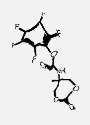 CC1(NC(=O)Oc2c(F)c(F)c(F)c(F)c2F)COC(=O)OC1